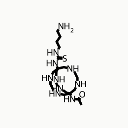 CC(=O)NC12CNCCNCC(NC(=S)NCCCCN)(CNCCNC1)CNCCNC2